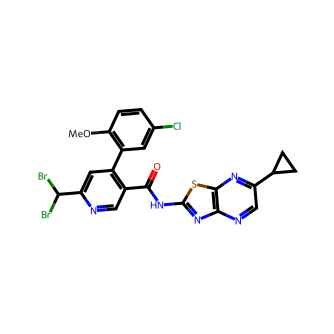 COc1ccc(Cl)cc1-c1cc(C(Br)Br)ncc1C(=O)Nc1nc2ncc(C3CC3)nc2s1